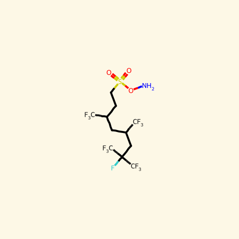 NOS(=O)(=O)CCC(CC(CC(F)(C(F)(F)F)C(F)(F)F)C(F)(F)F)C(F)(F)F